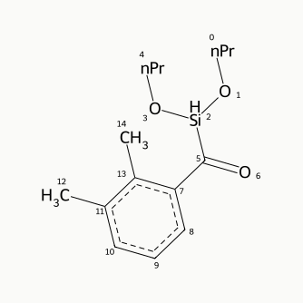 CCCO[SiH](OCCC)C(=O)c1cccc(C)c1C